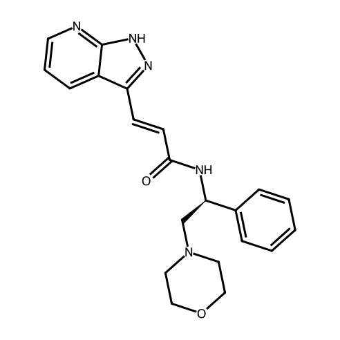 O=C(C=Cc1n[nH]c2ncccc12)N[C@H](CN1CCOCC1)c1ccccc1